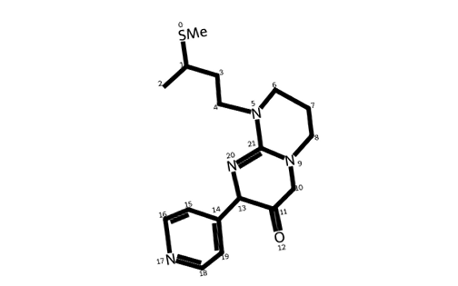 CSC(C)CCN1CCCN2CC(=O)C(c3ccncc3)N=C12